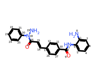 Nc1ccccc1NC(=O)c1ccc(C=CC(=O)N(N)c2ccccc2)cc1